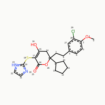 COc1ccc(CCC2(C3CCCC3)CC(O)=C(Sc3ncc[nH]3)C(=O)O2)cc1Cl